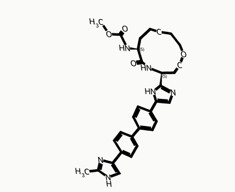 COC(=O)N[C@H]1CCCCCOCC[C@@H](c2ncc(-c3ccc(-c4ccc(-c5c[nH]c(C)n5)cc4)cc3)[nH]2)NC1=O